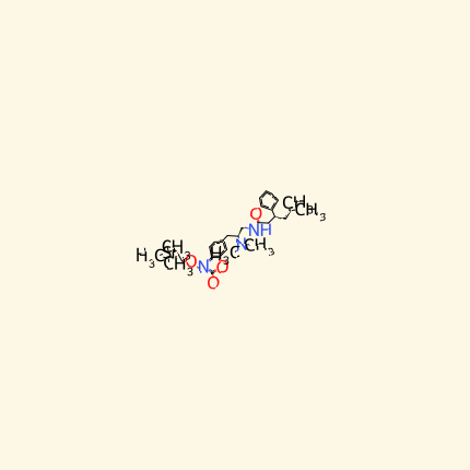 CC(C)C[C@@H](CC(=O)NC[C@H](Cc1ccc2c(c1)oc(=O)n2COCC[Si](C)(C)C)N(C)C)c1ccccc1